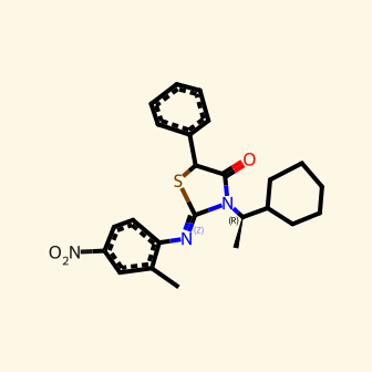 Cc1cc([N+](=O)[O-])ccc1/N=C1\SC(c2ccccc2)C(=O)N1[C@H](C)C1CCCCC1